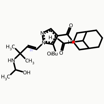 CC(C)COc1c(C(=O)NC2C3CCCC2CC(C(N)=O)C3)cnn1/C=C/C(C)(C)NC(C)O